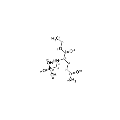 CCOC(=O)C(CCC(N)=O)NCP(=O)(O)O